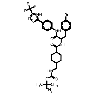 CC(C)(C)OC(=O)NCC1CCC(C(=O)NC(Cc2ccc(Br)cc2)C(=O)Nc2ccc(-c3nnc(C(F)(F)F)[nH]3)cc2)CC1